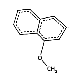 COc1c[c]cc2ccccc12